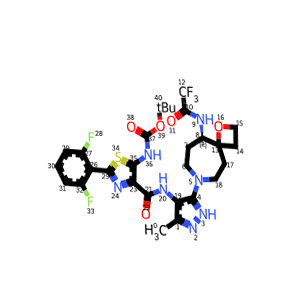 Cc1n[nH]c(N2CC[C@@H](NC(=O)C(F)(F)F)C3(CCO3)CC2)c1NC(=O)c1nc(-c2c(F)cccc2F)sc1NC(=O)OC(C)(C)C